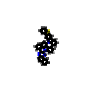 c1ccc(-c2nc3ccc4ccccc4c3nc2-n2c3cccc4c5cccc6c7cc8sc9ccccc9c8cc7n(c7cccc2c7c43)c56)cc1